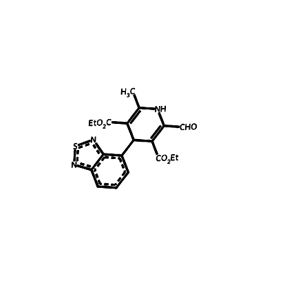 CCOC(=O)C1=C(C)NC(C=O)=C(C(=O)OCC)C1c1cccc2nsnc12